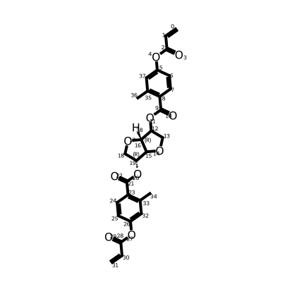 C=CC(=O)Oc1ccc(C(=O)OC2COC3[C@@H]2OC[C@H]3OC(=O)c2ccc(OC(=O)C=C)cc2C)c(C)c1